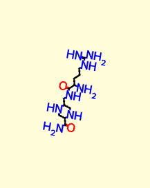 N=C(N)NCCCC(N)C(=O)NCC1CNC(C(N)=O)CN1